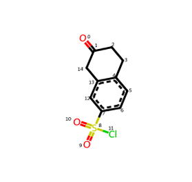 O=C1CCc2ccc(S(=O)(=O)Cl)cc2C1